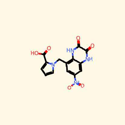 O=C(O)c1cccn1Cc1cc([N+](=O)[O-])cc2[nH]c(=O)c(=O)[nH]c12